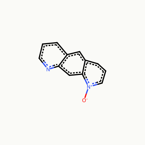 [O-][n+]1cccc2cc3cccnc3cc21